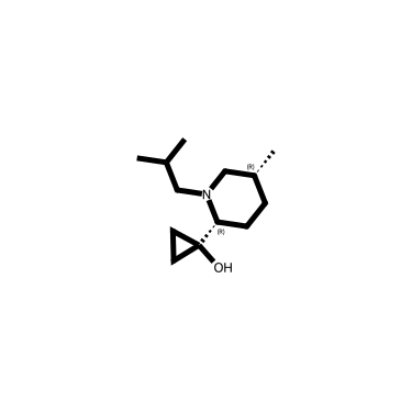 CC(C)CN1C[C@H](C)CC[C@@H]1C1(O)CC1